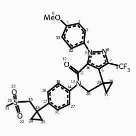 COc1ccc(-n2nc(C(F)(F)F)c3c2C(=O)N(c2ccc(C4(CS(C)(=O)=O)CC4)cc2)CC32CC2)cc1